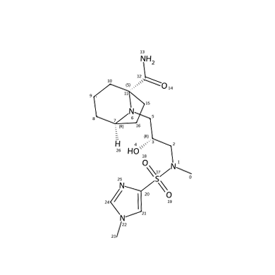 CN(C[C@H](O)CN1[C@@H]2C[CH]C[C@@]1(C(N)=O)CC2)S(=O)(=O)c1cn(C)cn1